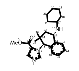 COC(=O)c1cncn1[C@@H]1c2ccccc2[C@@H](NC2CCCCC2)CC1(C)C